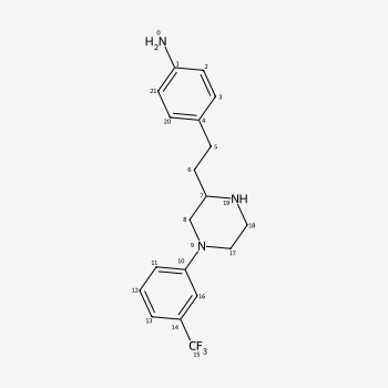 Nc1ccc(CCC2CN(c3cccc(C(F)(F)F)c3)CCN2)cc1